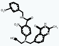 C#CCN(Cc1ccc2nc(C)[nH]c(=O)c2c1)c1ccc(C(=O)NCc2cccc([N+](=O)[O-])c2)c([N+](=O)[O-])c1